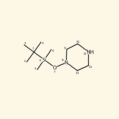 CC(C)(C)[Si](C)(C)ON1CCNCC1